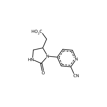 N#Cc1cc(N2C(=O)NCC2CC(=O)O)ccn1